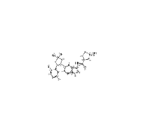 [2H]C1([2H])C[C@H](c2cc(F)ccc2F)N(c2ccn3ncc(NC(=O)N4CC[C@H](O)C4)c3n2)C1